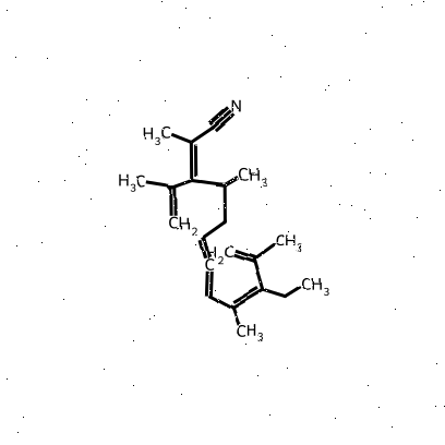 C=C(C)/C(CC)=C(/C)C=C=CCC(C)/C(C(=C)C)=C(/C)C#N